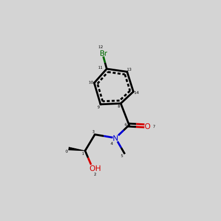 C[C@H](O)CN(C)C(=O)c1ccc(Br)cc1